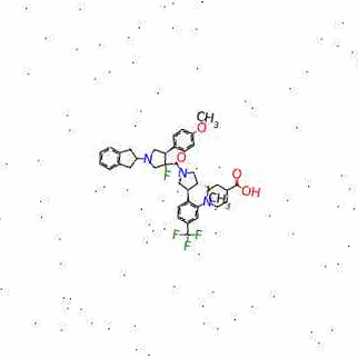 CC[C@H]1CN(C(=O)[C@]2(F)CN(C3Cc4ccccc4C3)C[C@H]2c2ccc(OC)cc2)C[C@@H]1c1ccc(C(F)(F)F)cc1N1CCC(C(=O)O)CC1